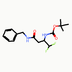 CC(C)(C)OC(=O)NC(CC(=O)NCc1ccccc1)C(F)F